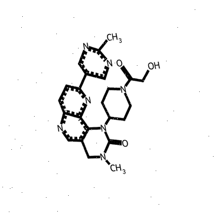 Cc1ncc(-c2ccc3ncc4c(c3n2)N(C2CCN(C(=O)CO)CC2)C(=O)N(C)C4)cn1